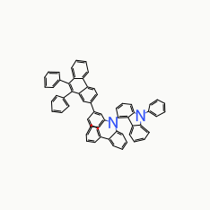 c1ccc(-c2ccccc2N(c2cccc(-c3ccc4c(c3)c(-c3ccccc3)c(-c3ccccc3)c3ccccc34)c2)c2cccc3c2c2ccccc2n3-c2ccccc2)cc1